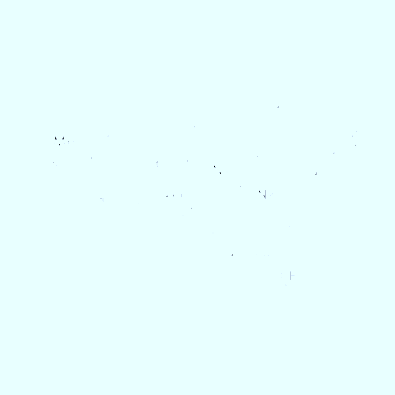 COC(=O)c1ccc(S(=O)(=O)N(Cc2ccc(Cl)cc2)c2ncc(C(F)(F)F)cc2Cl)cc1